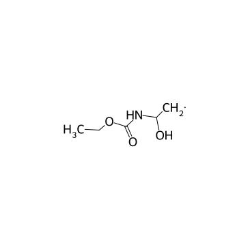 [CH2]C(O)NC(=O)OCC